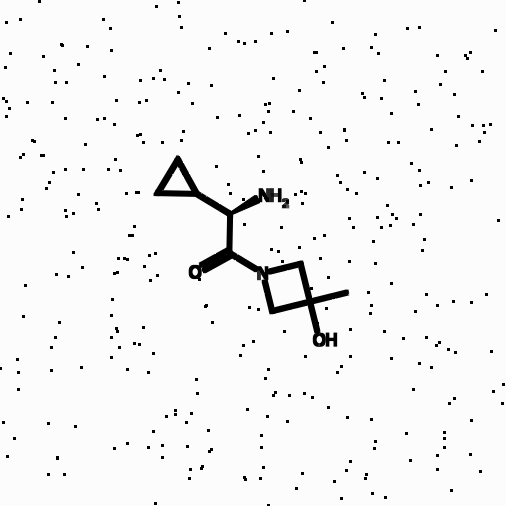 CC1(O)CN(C(=O)[C@H](N)C2CC2)C1